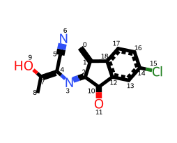 C=C1/C(=N\C(C#N)=C(/C)O)C(=O)c2cc(Cl)ccc21